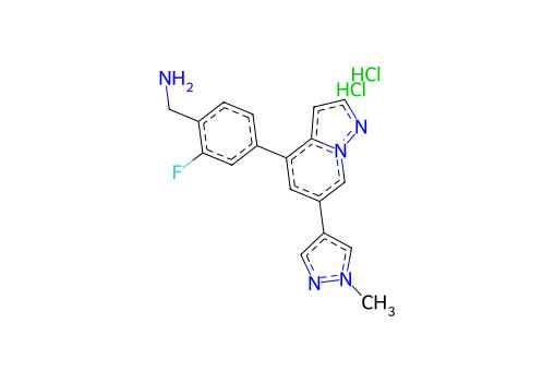 Cl.Cl.Cn1cc(-c2cc(-c3ccc(CN)c(F)c3)c3ccnn3c2)cn1